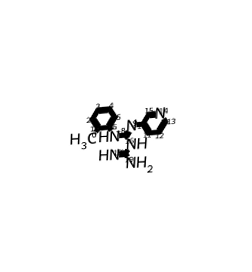 Cc1ccccc1NC(=Nc1cccnc1)NC(=N)N